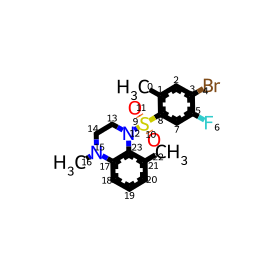 Cc1cc(Br)c(F)cc1S(=O)(=O)N1CCN(C)c2cccc(C)c21